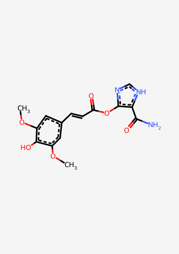 COc1cc(C=CC(=O)Oc2nc[nH]c2C(N)=O)cc(OC)c1O